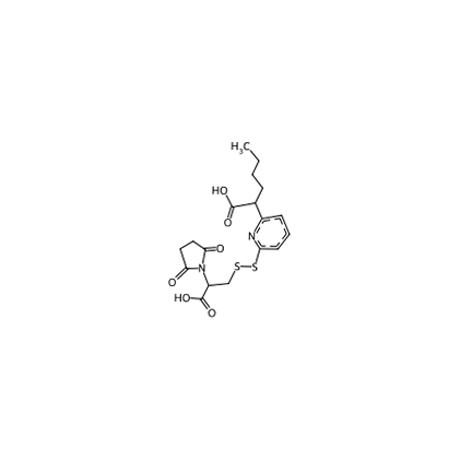 CCCCC(C(=O)O)c1cccc(SSCC(C(=O)O)N2C(=O)CCC2=O)n1